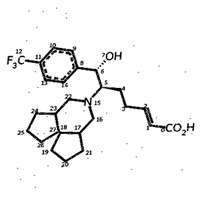 O=C(O)/C=C/CC[C@H]([C@@H](O)c1ccc(C(F)(F)F)cc1)N(CC1CCCC1)CC1CCCC1